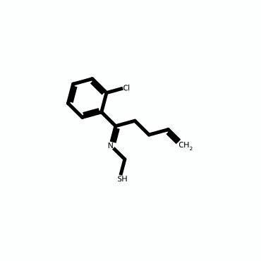 C=CCC/C(=N\CS)c1ccccc1Cl